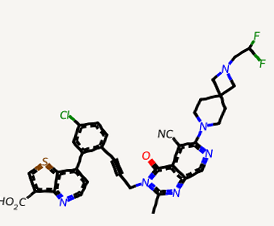 Cc1nc2cnc(N3CCC4(CC3)CN(CC(F)F)C4)c(C#N)c2c(=O)n1CC#Cc1ccc(Cl)cc1-c1ccnc2c(C(=O)O)csc12